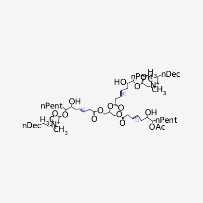 CCCCCCCCCCCC[N+](C)(C)CC(=O)OC(CCCCC)C(O)C/C=C/CC(=O)OCC(COC(=O)C/C=C/CC(O)C(CCCCC)OC(C)=O)OC(=O)C/C=C/CC(O)C(CCCCC)OC(=O)C[N+](C)(C)CCCCCCCCCCCC